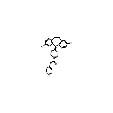 O=C(Cc1ccncc1)N1CCC(=C2c3ccc(Cl)cc3CCc3ccc(Cl)nc32)CC1